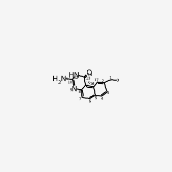 CCc1ccc2ccc3nc(N)[nH]c(=O)c3c2c1